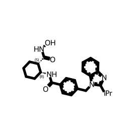 CC(C)c1nc2ccccc2n1Cc1ccc(C(=O)N[C@@H]2CCCC[C@@H]2C(=O)NO)cc1